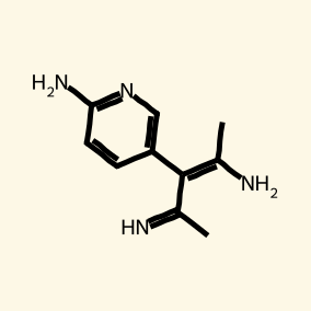 CC(=N)/C(=C(/C)N)c1ccc(N)nc1